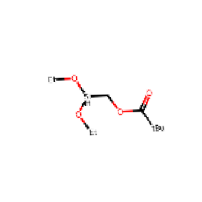 CCO[SiH](COC(=O)C(C)(C)C)OCC